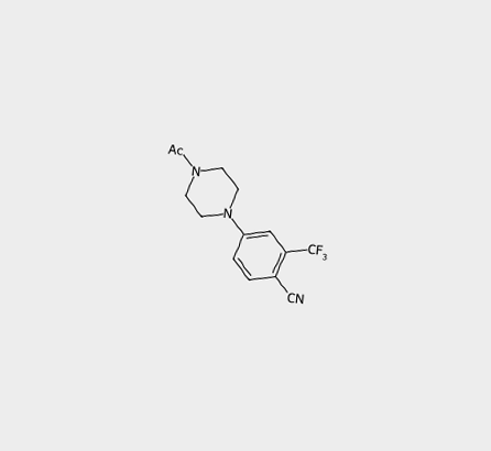 CC(=O)N1CCN(c2ccc(C#N)c(C(F)(F)F)c2)CC1